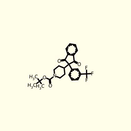 CC(C)(C)OC(=O)N1CCC(C2(c3cccc(C(F)(F)F)c3)C(=O)c3ccccc3C2=O)CC1